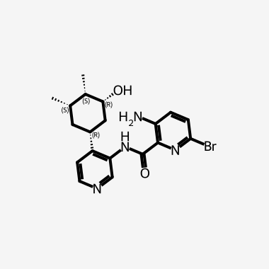 C[C@@H]1[C@H](O)C[C@H](c2ccncc2NC(=O)c2nc(Br)ccc2N)C[C@@H]1C